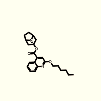 CCCCCCOc1cc(C(=O)OC2CC3CCC(C2)N3C)c2ccccc2n1